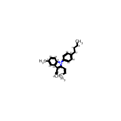 C#Cc1c(/C=C\C)n(-c2ccc(CCCC)cc2)c2ccc(C)cc12